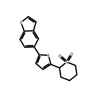 O=S1(=O)CCCC[C]1c1ccc(-c2ccc3sccc3c2)s1